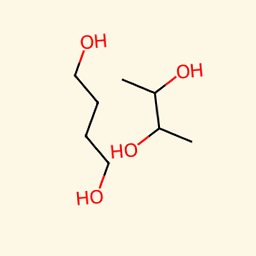 CC(O)C(C)O.OCCCCO